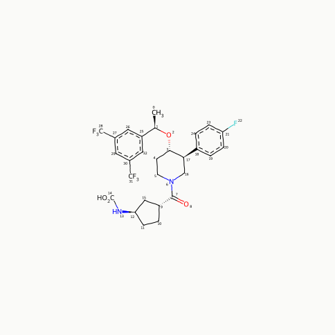 C[C@@H](O[C@H]1CCN(C(=O)[C@@H]2CC[C@@H](NC(=O)O)C2)C[C@@H]1c1ccc(F)cc1)c1cc(C(F)(F)F)cc(C(F)(F)F)c1